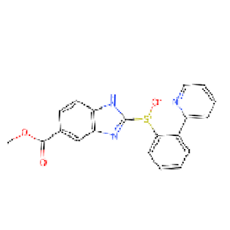 COC(=O)c1ccc2[nH]c([S+]([O-])c3ccccc3-c3ccccn3)nc2c1